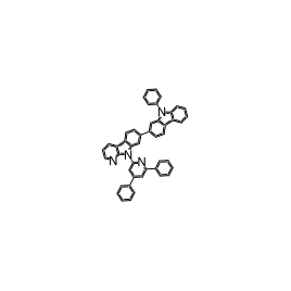 c1ccc(-c2cc(-c3ccccc3)nc(-n3c4cc(-c5ccc6c7ccccc7n(-c7ccccc7)c6c5)ccc4c4cccnc43)c2)cc1